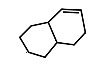 [CH]1CCC2C=CCCC2C1